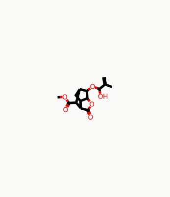 C=C(C)C(O)OC1C2CC3C1OC(=O)C3C2C(=O)OC